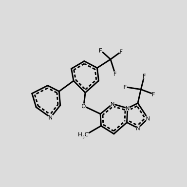 Cc1cc2nnc(C(F)(F)F)n2nc1Oc1cc(C(F)(F)F)ccc1-c1cccnc1